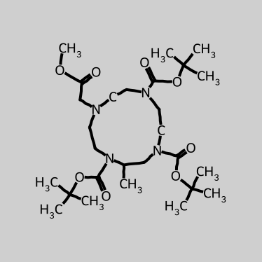 COC(=O)CN1CCN(C(=O)OC(C)(C)C)CCN(C(=O)OC(C)(C)C)CC(C)N(C(=O)OC(C)(C)C)CC1